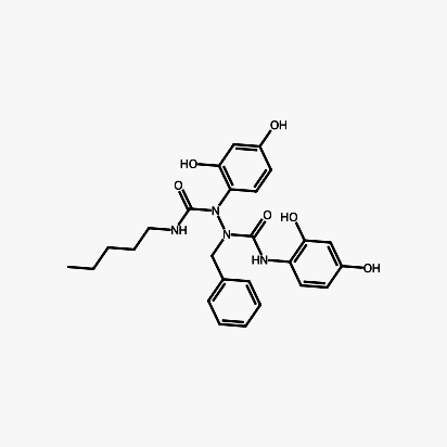 CCCCCNC(=O)N(c1ccc(O)cc1O)N(Cc1ccccc1)C(=O)Nc1ccc(O)cc1O